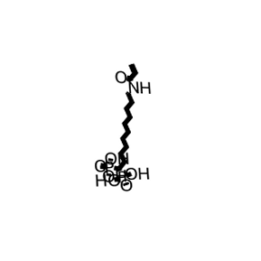 C=CC(=O)NCCCCCCCCCCC(P(=O)(O)O)P(=O)(O)O